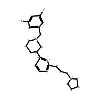 Fc1cc(F)cc(CN2CCCC(c3ccnc(CCCN4CCCC4)n3)C2)c1